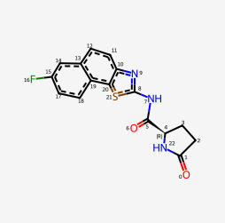 O=C1CC[C@H](C(=O)Nc2nc3ccc4cc(F)ccc4c3s2)N1